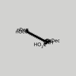 CCCCCCCCCCCC(=O)N[C@@H](CCC(=O)O)C(=O)OCCCCCCCCCCCCCCCCCCCCCCC(CCCCCCCC)CCCCCCCCCCC